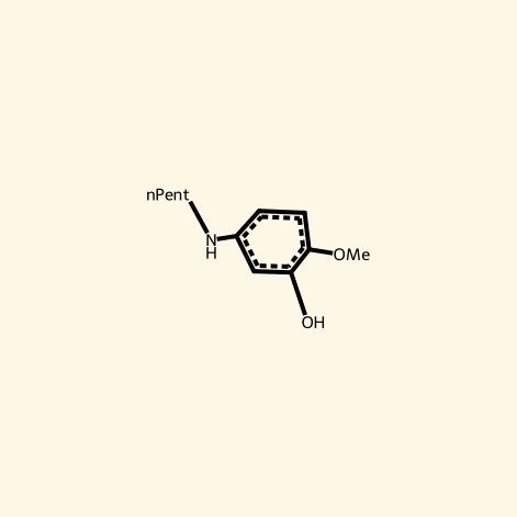 CCCCCNc1ccc(OC)c(O)c1